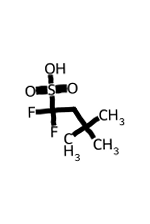 CC(C)(C)CC(F)(F)S(=O)(=O)O